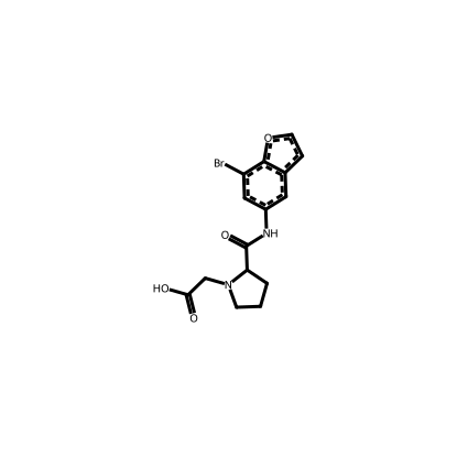 O=C(O)CN1CCCC1C(=O)Nc1cc(Br)c2occc2c1